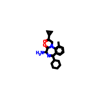 Cc1cccc2c1N(CC(=O)C1CC1)C(=O)C(N)N=C2C1CCCCC1